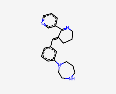 C(=C1CCCN=C1c1cccnc1)c1cccc(N2CCCNCC2)c1